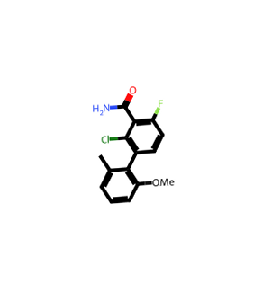 COc1cccc(C)c1-c1ccc(F)c(C(N)=O)c1Cl